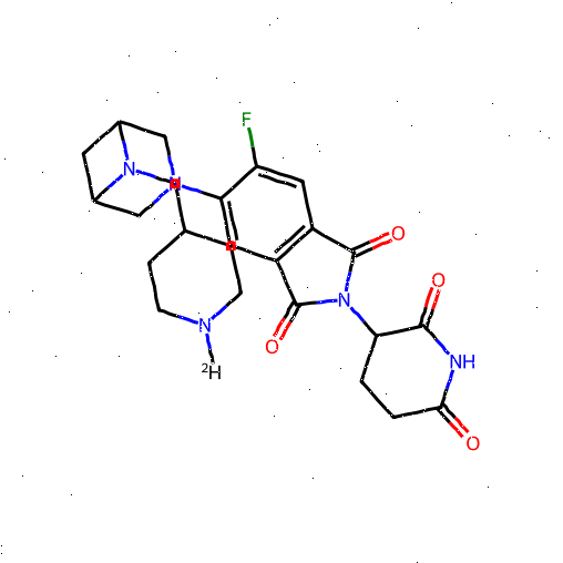 [2H]N1CCC(CN2C3CC2CN(c2cc4c(cc2F)C(=O)N(C2CCC(=O)NC2=O)C4=O)C3)CC1